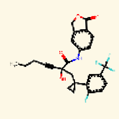 CCCC#CC(O)(CC1(c2cc(C(F)(F)F)ccc2F)CC1)C(=O)Nc1ccc2c(c1)COC2=O